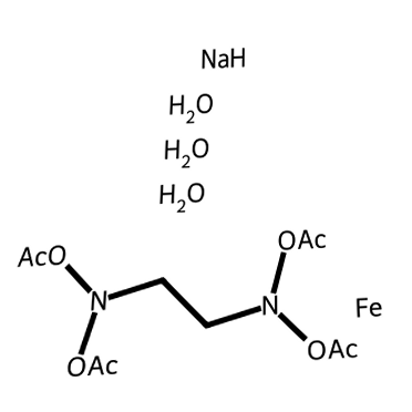 CC(=O)ON(CCN(OC(C)=O)OC(C)=O)OC(C)=O.O.O.O.[Fe].[NaH]